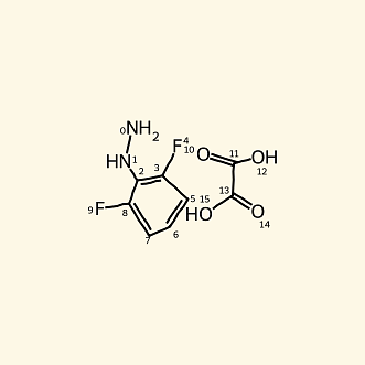 NNc1c(F)cccc1F.O=C(O)C(=O)O